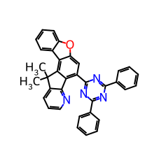 CC1(C)c2cccnc2-c2c(-c3nc(-c4ccccc4)nc(-c4ccccc4)n3)cc3oc4ccccc4c3c21